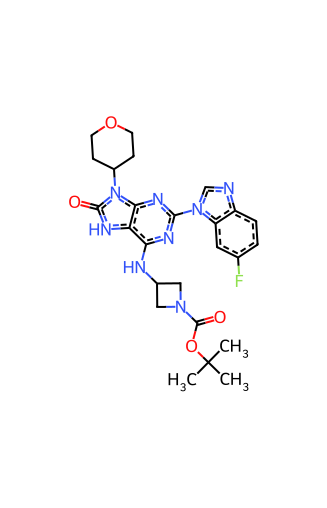 CC(C)(C)OC(=O)N1CC(Nc2nc(-n3cnc4ccc(F)cc43)nc3c2[nH]c(=O)n3C2CCOCC2)C1